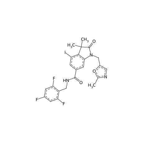 Cc1ncc(CN2C(=O)C(C)(C)c3c(I)cc(C(=O)NCc4c(F)cc(F)cc4F)cc32)o1